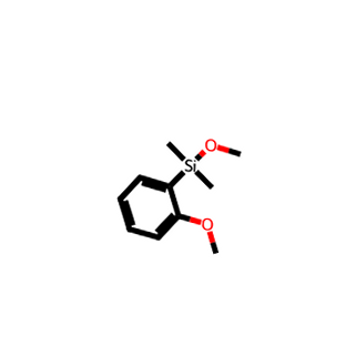 COc1ccccc1[Si](C)(C)OC